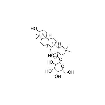 CC1(C)CC[C@]2(C(=O)O[C@H]3OC(CO)[C@H](O)C(O)[C@H]3O)C(O)C[C@]3(C)C(=CC[C@@H]4[C@@]5(C)CC[C@H](O)C(C)(C)C5CC[C@]43C)[C@@H]2C1